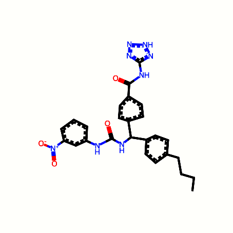 CCCCc1ccc(C(NC(=O)Nc2cccc([N+](=O)[O-])c2)c2ccc(C(=O)Nc3nn[nH]n3)cc2)cc1